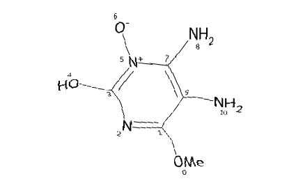 COc1nc(O)[n+]([O-])c(N)c1N